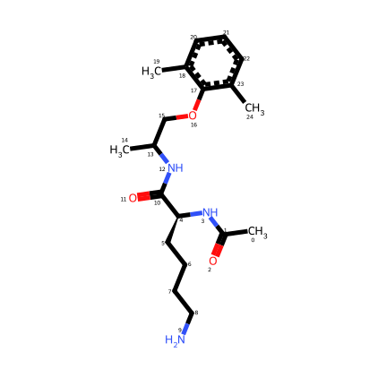 CC(=O)N[C@@H](CCCCN)C(=O)NC(C)COc1c(C)cccc1C